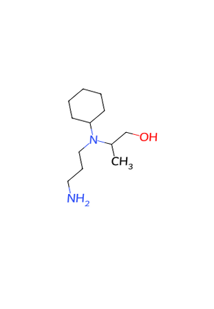 CC(CO)N(CCCN)C1CCCCC1